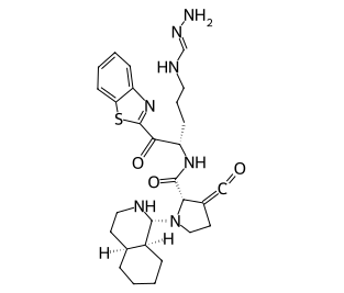 NN=CNCCC[C@H](NC(=O)[C@@H]1C(=C=O)CCN1[C@H]1NCC[C@@H]2CCCC[C@@H]21)C(=O)c1nc2ccccc2s1